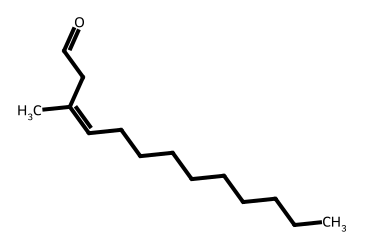 CCCCCCCCCC=C(C)CC=O